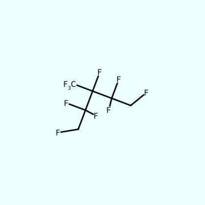 FCC(F)(F)C(F)(C(F)(F)F)C(F)(F)CF